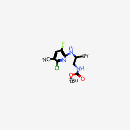 CC(C)C(CNC(=O)OC(C)(C)C)Nc1nc(Cl)c(C#N)cc1F